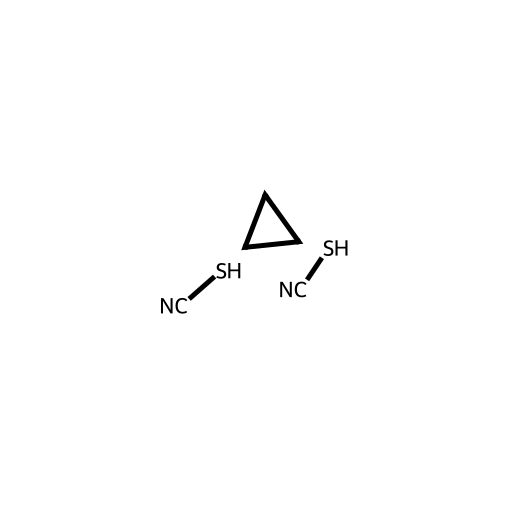 C1CC1.N#CS.N#CS